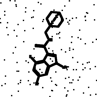 CCCn1cc(C(=O)NCC23CCC(CC2)CC3)c2c(F)cc(Br)cc21